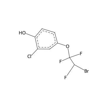 Oc1ccc(OC(F)(F)C(F)Br)cc1Cl